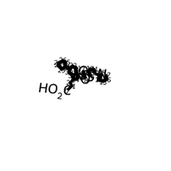 O=C(O)CCc1cn(S(=O)(=O)c2ccc(-c3ccccn3)s2)c2ccc(-c3ccccc3)cc12